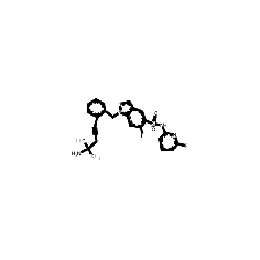 CC(C)(N)CC#Cc1ccccc1Cn1ncc2cc(S(=O)(=O)Nc3cccc(F)n3)c(F)cc21